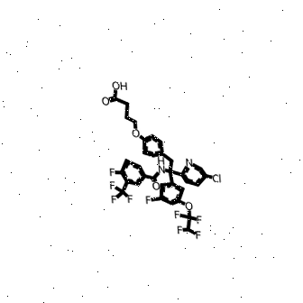 O=C(O)CCCOc1ccc(CC(NC(=O)c2ccc(F)c(C(F)(F)F)c2)(c2cc(F)cc(OC(F)(F)C(F)F)c2)c2ccc(Cl)cn2)cc1